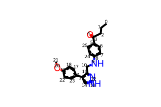 CCCC(=O)c1ccc(NCc2n[nH]cc2-c2ccc(OC)cc2)cc1